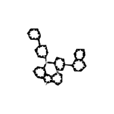 c1ccc(-c2ccc(N(c3ccc(-c4cccc5ccccc45)cc3)c3cccc4oc5cccnc5c34)cc2)cc1